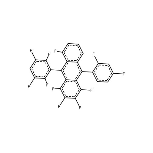 Fc1ccc(-c2c3cccc(F)c3c(-c3c(F)c(F)cc(F)c3F)c3c(F)c(F)c(F)c(F)c23)c(F)c1